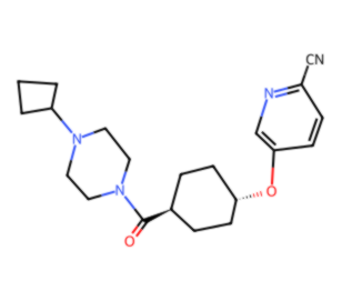 N#Cc1ccc(O[C@H]2CC[C@H](C(=O)N3CCN(C4CCC4)CC3)CC2)cn1